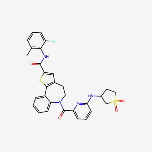 Cc1cccc(F)c1NC(=O)c1cc2c(s1)-c1ccccc1N(C(=O)c1cccc(NC3CCS(=O)(=O)C3)n1)CC2